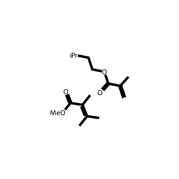 C=C(C)C(=O)OCCC(C)C.COC(=O)C(C)=C(C)C